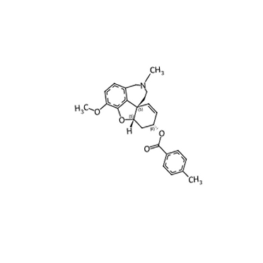 COc1ccc2c3c1O[C@H]1C[C@@H](OC(=O)c4ccc(C)cc4)C=C[C@@]31CCN(C)C2